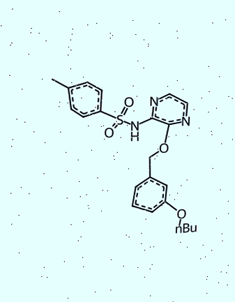 CCCCOc1cccc(COc2nccnc2NS(=O)(=O)c2ccc(C)cc2)c1